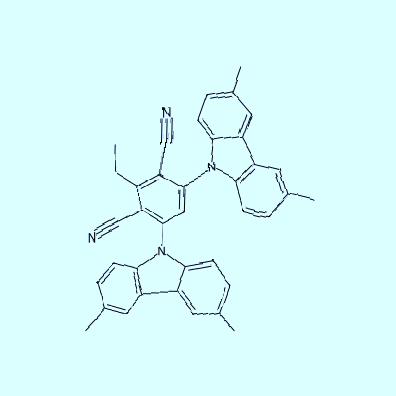 CCc1c(C#N)c(-n2c3ccc(C)cc3c3cc(C)ccc32)cc(-n2c3ccc(C)cc3c3cc(C)ccc32)c1C#N